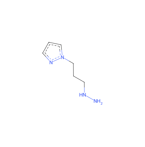 NNCCCn1cccn1